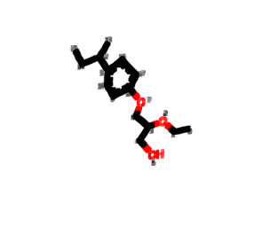 CCOC(CO)COc1ccc(C(C)CC)cc1